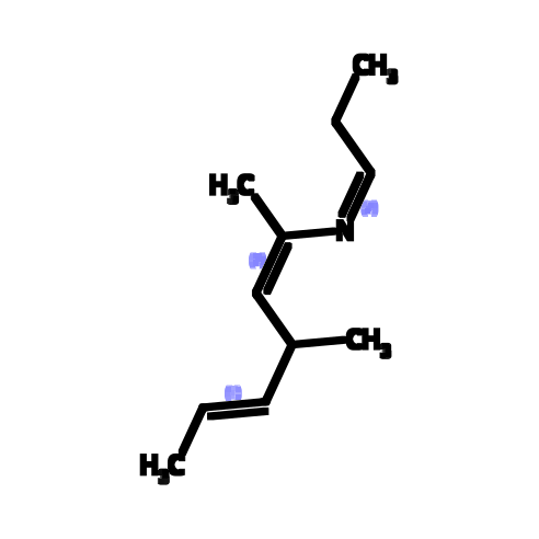 C/C=C/C(C)/C=C(C)\N=C/CC